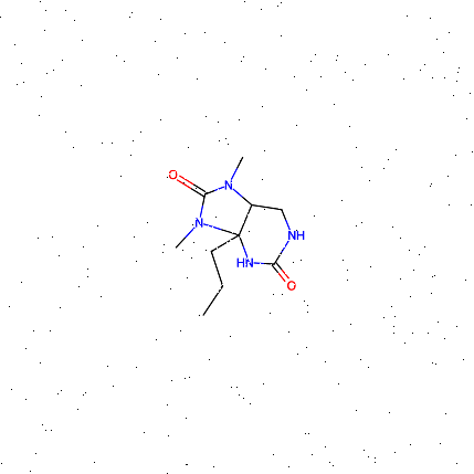 [CH2]CCC12NC(=O)NCC1N(C)C(=O)N2C